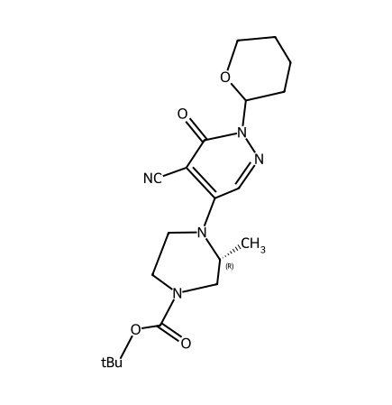 C[C@@H]1CN(C(=O)OC(C)(C)C)CCN1c1cnn(C2CCCCO2)c(=O)c1C#N